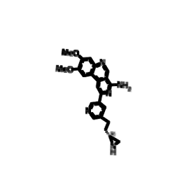 COc1cc2ncc3c(N)nc(-c4cncc(CC[C@@H]5CN5)c4)cc3c2cc1OC